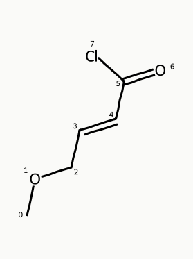 COCC=CC(=O)Cl